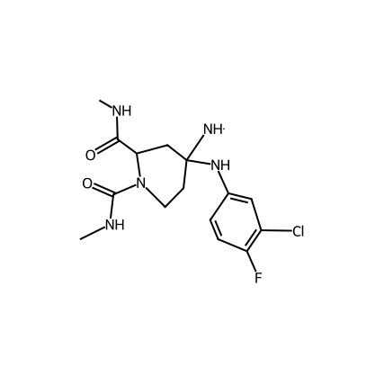 CNC(=O)C1CC([NH])(Nc2ccc(F)c(Cl)c2)CCN1C(=O)NC